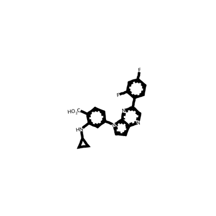 O=C(O)c1ccc(-n2ccc3ncc(-c4ccc(F)cc4F)nc32)cc1NC1CC1